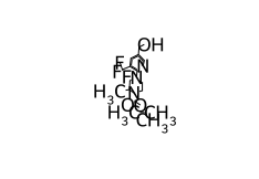 CC1CN(c2ncc(CO)cc2C(F)(F)F)CCN1C(=O)OC(C)(C)C